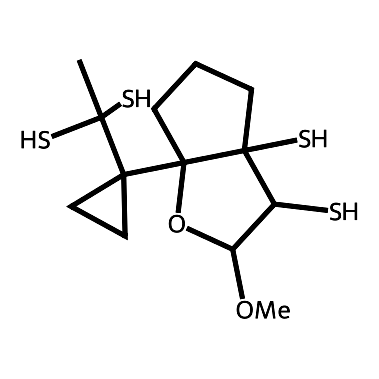 COC1OC2(C3(C(C)(S)S)CC3)CCCC2(S)C1S